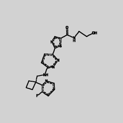 O=C(NCCO)c1cnc(-c2ccc(NCC3(c4ncccc4F)CCC3)nn2)s1